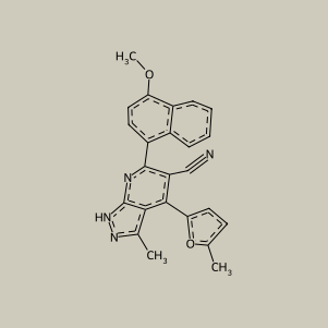 COc1ccc(-c2nc3[nH]nc(C)c3c(-c3ccc(C)o3)c2C#N)c2ccccc12